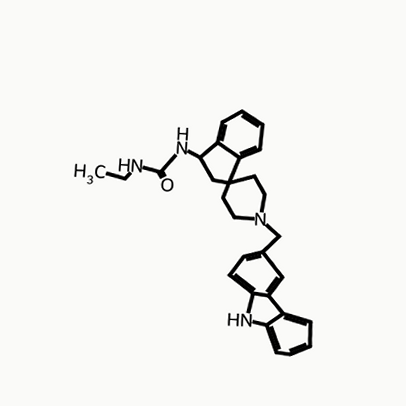 CCNC(=O)NC1CC2(CCN(Cc3ccc4[nH]c5ccccc5c4c3)CC2)c2ccccc21